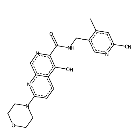 Cc1cc(C#N)ncc1CNC(=O)c1ncc2nc(N3CCOCC3)ccc2c1O